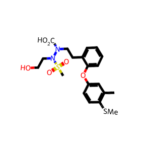 CSc1ccc(Oc2ccccc2CCN(C(=O)O)N(CCO)S(C)(=O)=O)cc1C